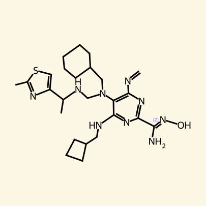 C=Nc1nc(/C(N)=N/O)nc(NCC2CCC2)c1N(CNC(C)c1csc(C)n1)CC1CCCCC1